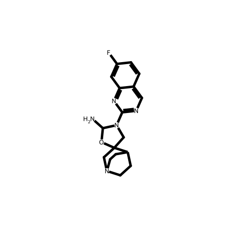 NC1OC2(CN3CCC2CC3)CN1c1ncc2ccc(F)cc2n1